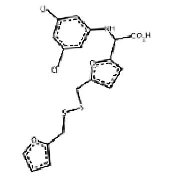 O=C(O)C(Nc1cc(Cl)cc(Cl)c1)c1ccc(CSSCc2ccco2)o1